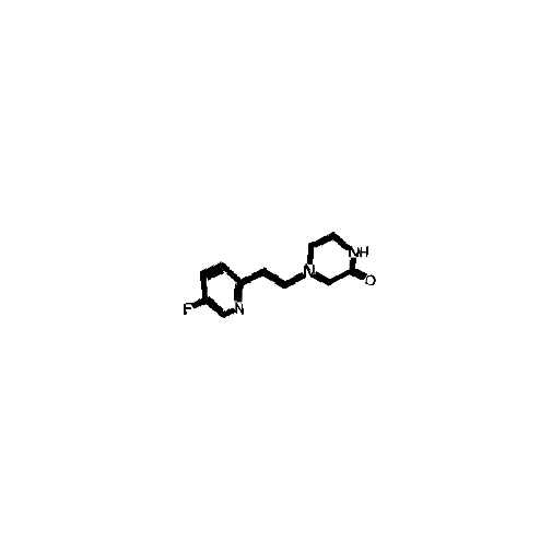 O=C1CN(CCc2ccc(F)cn2)CCN1